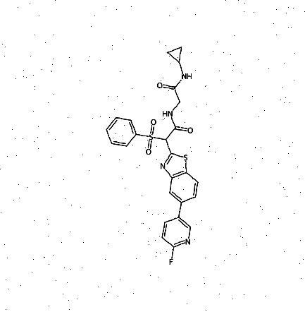 O=C(CNC(=O)C(c1nc2cc(-c3ccc(F)nc3)ccc2s1)S(=O)(=O)c1ccccc1)NC1CC1